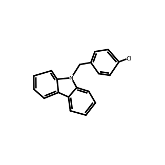 Clc1ccc(Cn2c3ccccc3c3ccccc32)cc1